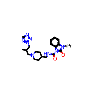 CC(CN1CCC(CNC(=O)n2c(=O)n(C(C)C)c3ccccc32)CC1)Cn1ncnn1